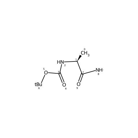 C[C@H](NC(=O)OC(C)(C)C)C([NH])=O